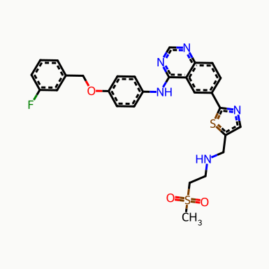 CS(=O)(=O)CCNCc1cnc(-c2ccc3ncnc(Nc4ccc(OCc5cccc(F)c5)cc4)c3c2)s1